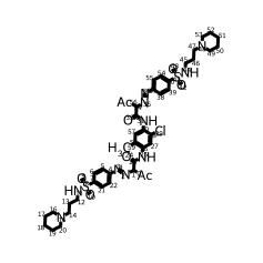 CC(=O)C(N=Nc1ccc(S(=O)(=O)NCCCN2CCCCC2)cc1)C(=O)Nc1cc(Cl)c(NC(=O)C(N=Nc2ccc(S(=O)(=O)NCCCN3CCCCC3)cc2)C(C)=O)cc1C